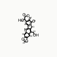 O=C1OCc2c(cc3n(c2=O)Cc2c-3nc3cc4c(cc3c2CO)OCO4)C1O